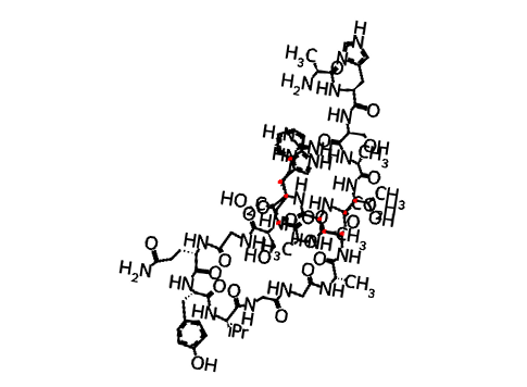 CC(C)[C@H](NC(=O)[C@H](Cc1ccc(O)cc1)NC(=O)[C@H](CCC(N)=O)NC(=O)CNC(=O)[C@H](CO)NC(=O)[C@H](Cc1c[nH]c2ccccc12)NC(=O)[C@@H](NC(=O)[C@@H](NC(=O)[C@H](C)NC(=O)[C@H](CO)NC(=O)[C@H](Cc1c[nH]cn1)NC(=O)[C@H](C)N)[C@@H](C)O)[C@@H](C)O)C(=O)NCC(=O)NCC(=O)N[C@@H](C)C(=O)N[C@@H](CCC(=O)O)C(=O)N[C@@H](C)C(=O)N[C@@H](CCCNC(=N)N)C(=O)O